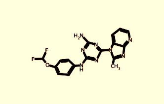 Cc1nc2ncccc2n1-c1nc(N)nc(Nc2ccc(OC(F)F)cc2)n1